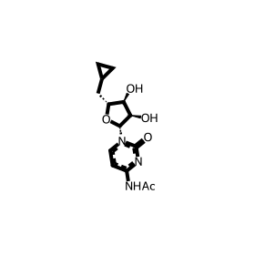 CC(=O)Nc1ccn([C@@H]2O[C@H](CC3CC3)[C@@H](O)[C@H]2O)c(=O)n1